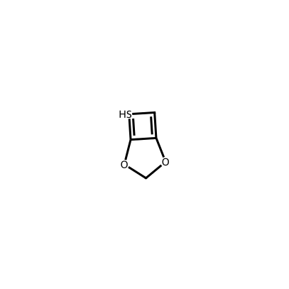 C1=C2OCOC2=[SH]1